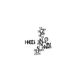 Cl.Cl.O=C(c1nccn1CCc1cccs1)c1nccn1CCc1cccs1